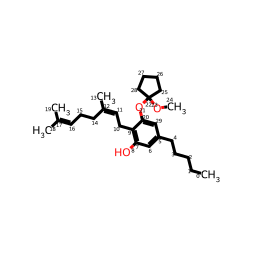 CCCCCc1cc(O)c(CC=C(C)CCC=C(C)C)c(OC2(OC)CCCC2)c1